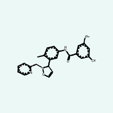 Cc1ccc(NC(=O)c2cc(C#N)cc(C(C)(C)C)c2)cc1C1C=CON1Cc1ccccn1